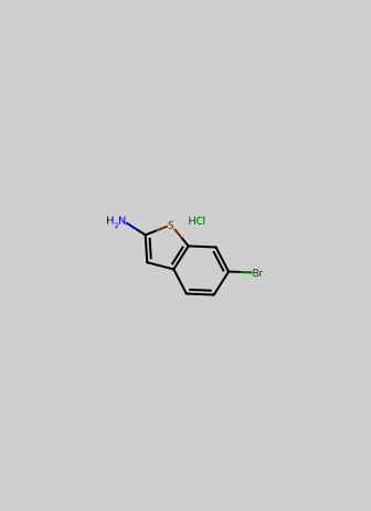 Cl.Nc1cc2ccc(Br)cc2s1